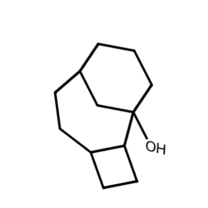 OC12CCCC(CCC3CCC31)C2